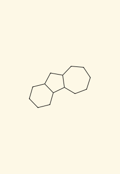 C1CCC2CC3CCCCC3C2CC1